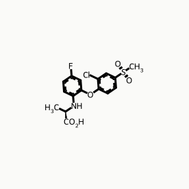 C[C@@H](Nc1ccc(F)cc1Oc1ccc(S(C)(=O)=O)cc1Cl)C(=O)O